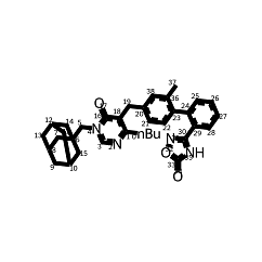 CCCCc1ncn(CC23CC4CC(CC(C4)C2)C3)c(=O)c1Cc1ccc(-c2ccccc2-c2noc(=O)[nH]2)c(C)c1